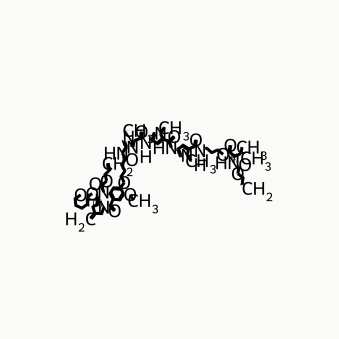 C=CCOC(=O)N[C@@H](C(=O)OCCCNC(=O)c1cc(NC(=O)c2cc(NC(=O)c3nc(NC(=O)CCCOc4cc5c(cc4OC)C(=O)N4CC(=C)C[C@H]4C(OC4CCCCO4)N5C(=O)OCC=C)cn3C)cn2C)cn1C)C(C)C